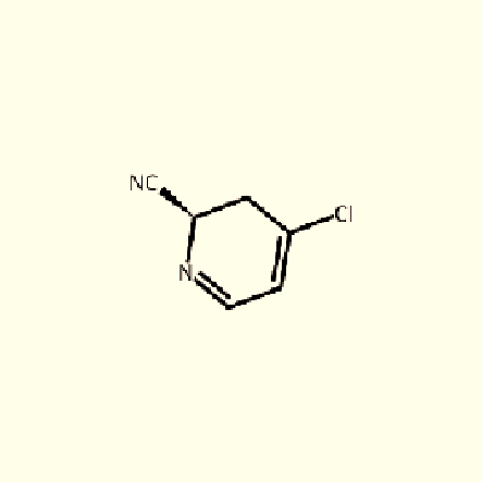 N#C[C@H]1CC(Cl)=CC=N1